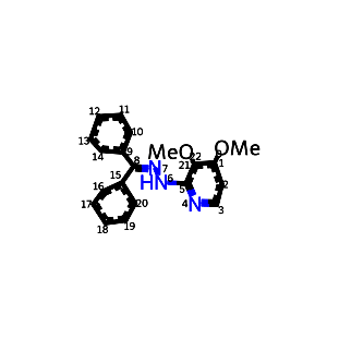 COc1ccnc(NN=C(c2ccccc2)c2ccccc2)c1OC